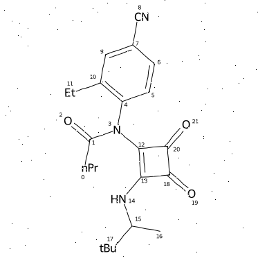 CCCC(=O)N(c1ccc(C#N)cc1CC)c1c(NC(C)C(C)(C)C)c(=O)c1=O